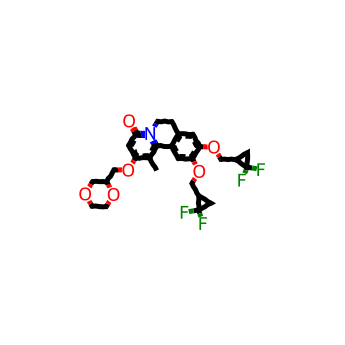 Cc1c(OCC2COCCO2)cc(=O)n2c1-c1cc(OCC3CC3(F)F)c(OCC3CC3(F)F)cc1CC2